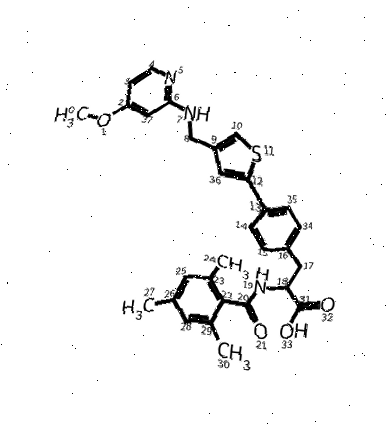 COc1ccnc(NCc2csc(-c3ccc(CC(NC(=O)c4c(C)cc(C)cc4C)C(=O)O)cc3)c2)c1